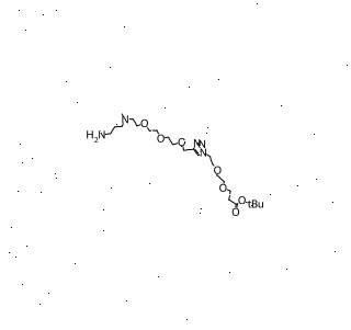 CN(CCCN)CCOCCOCCOCc1cn(CCOCCOCCC(=O)OC(C)(C)C)nn1